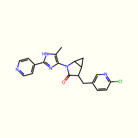 Cc1[nH]c(-c2ccncc2)nc1N1C(=O)C(Cc2ccc(Cl)nc2)C2CC21